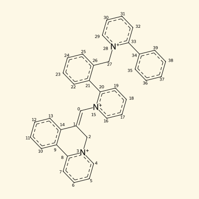 C(=C1/C[n+]2ccccc2-c2ccccc21)/[n+]1ccccc1-c1ccccc1C[n+]1ccccc1-c1ccccc1